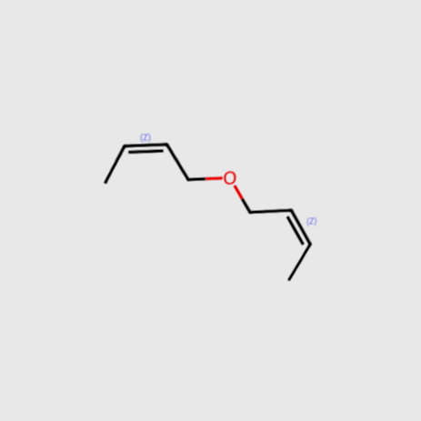 C/C=C\COC/C=C\C